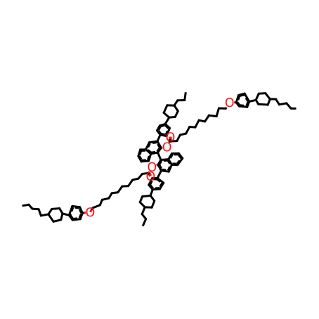 CCCCCC1CCC(c2ccc(OCCCCCCCCCCCC(=O)Oc3c(-c4ccc(C5CCC(CCC)CC5)cc4)cc4ccccc4c3-c3c(OC(=O)CCCCCCCCCCCOc4ccc(C5CCC(CCCCC)CC5)cc4)c(-c4ccc(C5CCC(CCC)CC5)cc4)cc4ccccc34)cc2)CC1